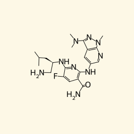 CC(C)C[C@H](CN)Nc1nc(Nc2cnc3c(c2)c(N(C)C)nn3C)c(C(N)=O)cc1F